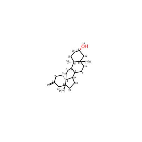 C=C1CC[C@]23CCC4C(CC[C@H]5C[C@H](O)CC[C@]45C)C2CC[C@@H]3C1